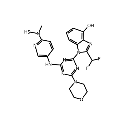 CN(S)c1ccc(Nc2nc(N3CCOCC3)nc(-n3c(C(F)F)nc4c(O)cccc43)n2)cn1